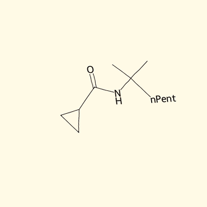 CCCCCC(C)(C)NC(=O)C1CC1